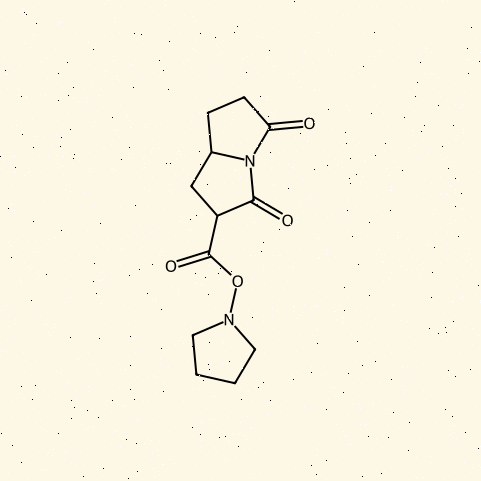 O=C(ON1CCCC1)C1CC2CCC(=O)N2C1=O